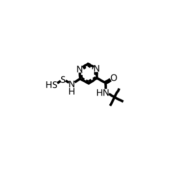 CC(C)(C)NC(=O)c1cc(NSS)ncn1